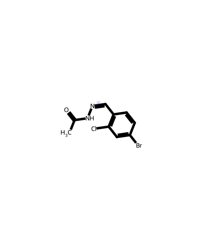 CC(=O)N/N=C\c1ccc(Br)cc1Cl